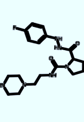 O=C(NNc1ccc(F)cc1)C1CCCN1C(=O)NCCN1CCNCC1